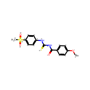 CCC(C)Oc1ccc(C(=O)NC(=S)Nc2ccc(S(C)(=O)=O)cc2)cc1